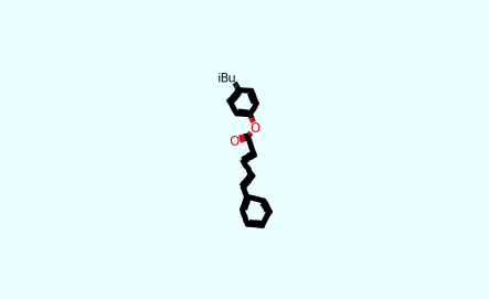 CCC(C)c1ccc(OC(=O)/C=C/C=C/c2ccccc2)cc1